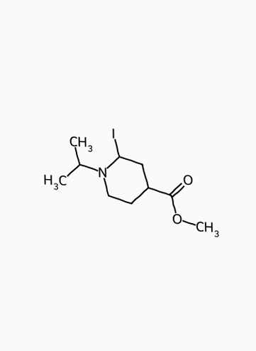 COC(=O)C1CCN(C(C)C)C(I)C1